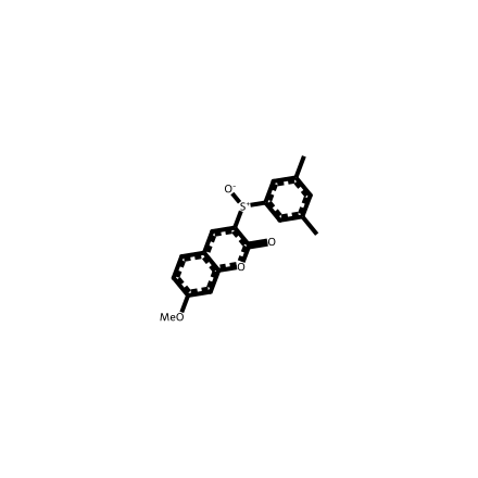 COc1ccc2cc([S+]([O-])c3cc(C)cc(C)c3)c(=O)oc2c1